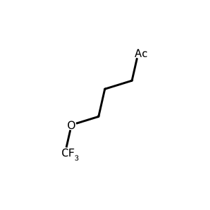 CC(=O)CCCOC(F)(F)F